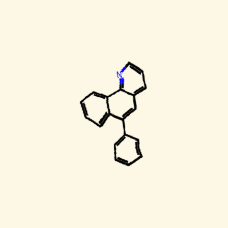 c1ccc(-c2cc3cccnc3c3ccccc23)cc1